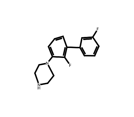 Fc1cccc(-c2cccc(N3CCNCC3)c2F)c1